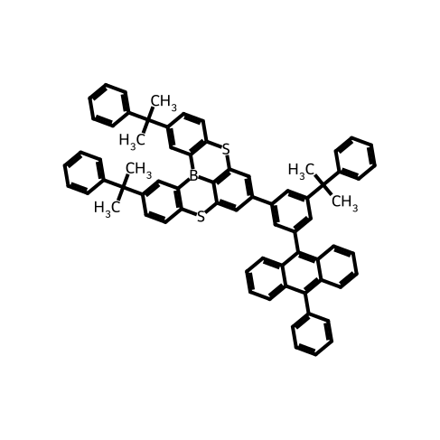 CC(C)(c1ccccc1)c1cc(-c2cc3c4c(c2)Sc2ccc(C(C)(C)c5ccccc5)cc2B4c2cc(C(C)(C)c4ccccc4)ccc2S3)cc(-c2c3ccccc3c(-c3ccccc3)c3ccccc23)c1